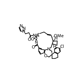 CO[C@H]1/C=C/CCC[S@@](=O)(NC(=O)CCn2ccnn2)=NC(=O)c2ccc3c(c2)N(C[C@@H]2CC[C@H]21)C[C@@]1(CCCc2cc(Cl)ccc21)CO3